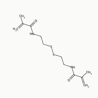 C=C(C)C(=O)NCCSSCCNC(=O)C(=C)C